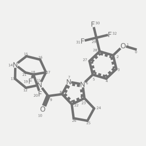 COc1ccc(-n2nc(C(=O)N3CCN4CCC3C(F)(F)C4)c3c2CCC3)cc1C(F)(F)F